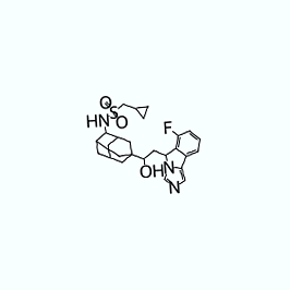 O=S(=O)(CC1CC1)NC1C2CC3CC1CC(C(O)CC1c4c(F)cccc4-c4cncn41)(C3)C2